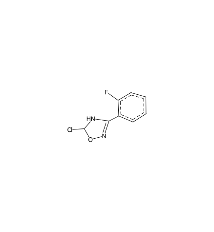 Fc1ccccc1C1=NOC(Cl)N1